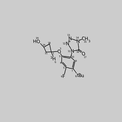 [2H]C1(Oc2cc(F)c(C(C)(C)C)cc2-n2nnn(C)c2=O)CC(O)C1